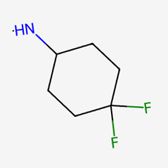 [NH]C1CCC(F)(F)CC1